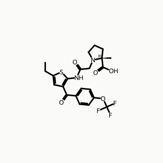 CCc1cc(C(=O)c2ccc(OC(F)(F)F)cc2)c(NC(=O)CN2CCC[C@]2(C)C(=O)O)s1